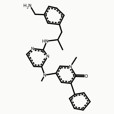 CC(Cc1cccc(CN)c1)Nc1nccc(N(C)c2cc(-c3ccccc3)c(=O)n(C)c2)n1